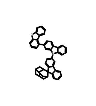 c1ccc2c(c1)-c1cc(-n3c4ccccc4c4ccc(-c5cccc6oc7ccccc7c56)cc43)ccc1C21C2CC3CC(C2)CC1C3